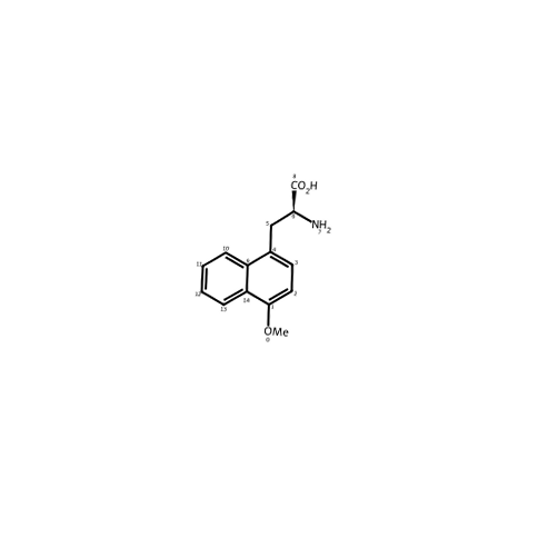 COc1ccc(C[C@H](N)C(=O)O)c2ccccc12